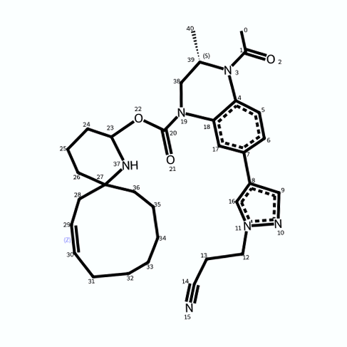 CC(=O)N1c2ccc(-c3cnn(CCC#N)c3)cc2N(C(=O)OC2CCCC3(C/C=C\CCCCCC3)N2)C[C@@H]1C